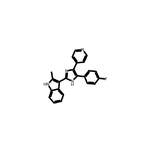 Cc1[nH]c2ccccc2c1-c1nc(-c2ccncc2)c(-c2ccc(F)cc2)[nH]1